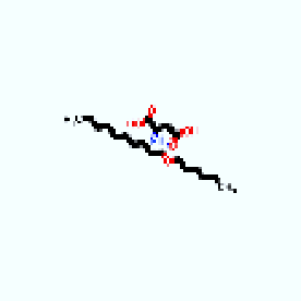 CCCCCCCCCCOCCCCCC.NC(CC(=O)O)C(=O)O